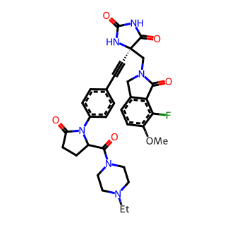 CCN1CCN(C(=O)C2CCC(=O)N2c2ccc(C#C[C@]3(CN4Cc5ccc(OC)c(F)c5C4=O)NC(=O)NC3=O)cc2)CC1